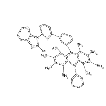 Bc1c(B)c(B)c2c(-c3cccc(-c4cccc(-n5c(CC)nc6ccccc65)c4)c3)c3c(B)c(B)c(B)c(B)c3c(-c3ccccc3)c2c1B